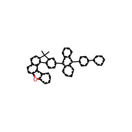 CC1(C)c2cc(-c3c4ccccc4c(-c4ccc(-c5ccccc5)cc4)c4ccccc34)ccc2-c2c1ccc1ccc3oc4ccccc4c3c21